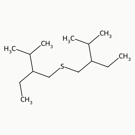 CCC(CSCC(CC)C(C)C)C(C)C